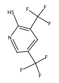 FC(F)(F)c1cnc(S)c(C(F)(F)F)c1